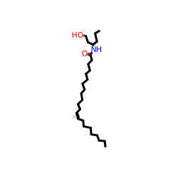 CCCCCCCC/C=C\CCCCCCCCCCCC(=O)N[C](CCC)CCO